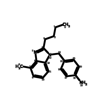 CCCCc1nc2c(C)cccc2n1Cc1ccc(N)cc1